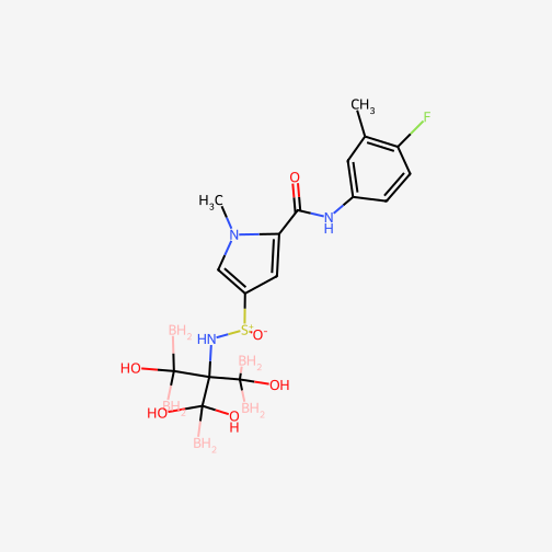 BC(B)(O)C(N[S+]([O-])c1cc(C(=O)Nc2ccc(F)c(C)c2)n(C)c1)(C(B)(B)O)C(B)(O)O